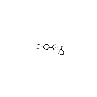 N#Cc1ccccc1-n1cc(-c2ccc(N3CCSCC3)cc2)cn1